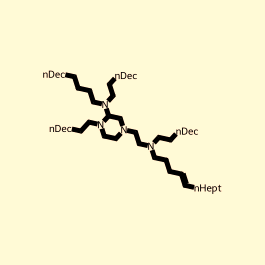 CCCCCCC/C=C/CCCN(CCCCCCCCCCCC)CCN1CCN(CCCCCCCCCCCC)C(N(CCCCCCCCCCCC)CCCCCCCCCCCCCC)C1